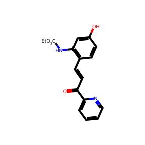 CCOC(=O)Nc1cc(O)ccc1C=CC(=O)c1ccccn1